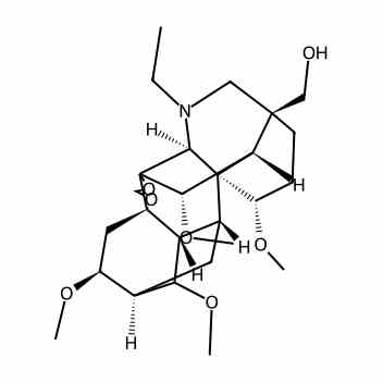 CCN1C[C@]2(CO)CC[C@H](OC)[C@]34[C@@H]5C[C@H]6C(OC)[C@@H]5[C@@]5(C[C@@H]6OC)OCOC5([C@@H]13)[C@@H](OC)[C@H]24